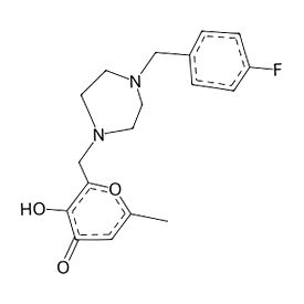 Cc1cc(=O)c(O)c(CN2CCN(Cc3ccc(F)cc3)CC2)o1